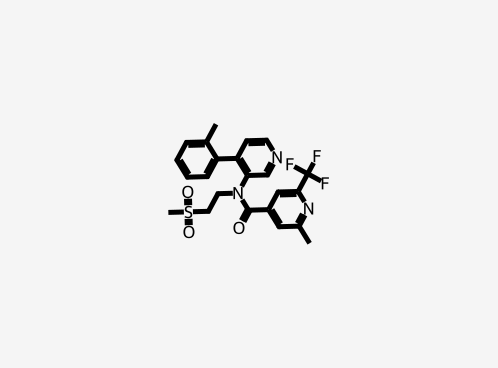 Cc1cc(C(=O)N(CCS(C)(=O)=O)c2cnccc2-c2ccccc2C)cc(C(F)(F)F)n1